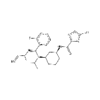 CC(C=N)/N=C(/c1ccccc1F)N(C(C)C)[C@@H]1CCC[C@H](NC(=O)c2ncc(Cl)s2)C1